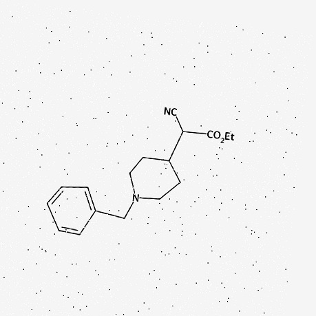 CCOC(=O)C(C#N)C1CCN(Cc2ccccc2)CC1